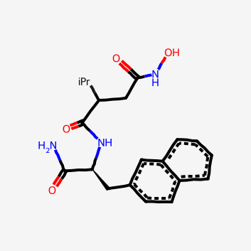 CC(C)C(CC(=O)NO)C(=O)N[C@@H](Cc1ccc2ccccc2c1)C(N)=O